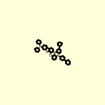 c1ccc(-c2ccc(N3c4ccc(-c5ccccc5)cc4B4c5ccc6c(sc7cc(N(c8ccccc8)c8ccccc8)ccc76)c5Oc5cccc3c54)cc2)cc1